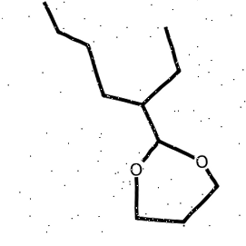 CCCCC(CC)C1OC[CH]CO1